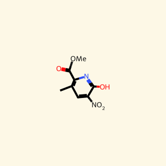 COC(=O)c1nc(O)c([N+](=O)[O-])cc1C